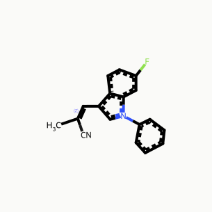 C/C(C#N)=C/c1cn(-c2ccccc2)c2cc(F)ccc12